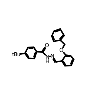 CC(C)(C)c1ccc(C(=O)N/N=C/c2ccccc2OCc2ccccc2)cc1